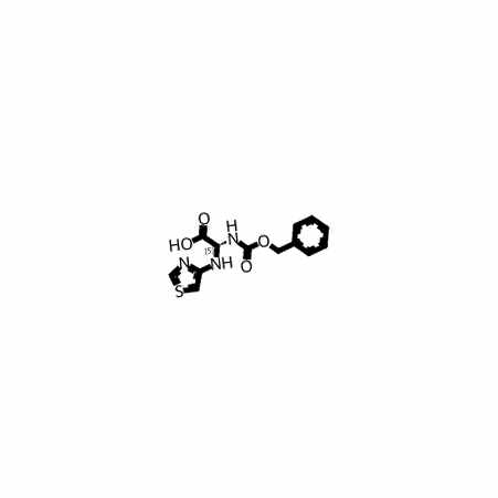 O=C(N[C@H](Nc1cscn1)C(=O)O)OCc1ccccc1